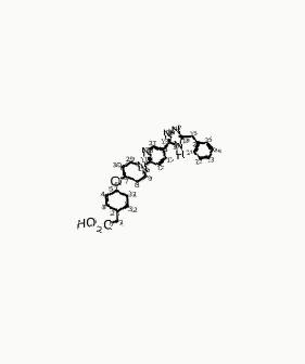 O=C(O)C[C@H]1CC[C@H](OC2CCN(c3ccc(-c4nnc(Cc5ccccc5)[nH]4)cn3)CC2)CC1